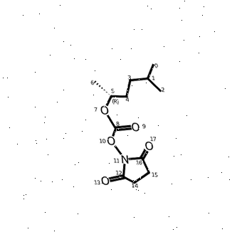 CC(C)CC[C@@H](C)OC(=O)ON1C(=O)CCC1=O